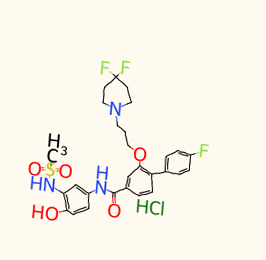 CS(=O)(=O)Nc1cc(NC(=O)c2ccc(-c3ccc(F)cc3)c(OCCCN3CCC(F)(F)CC3)c2)ccc1O.Cl